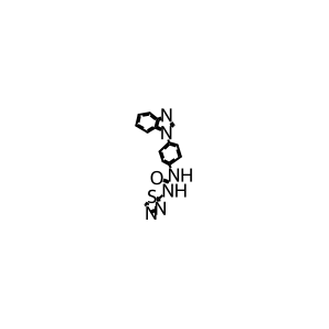 O=C(Nc1ccc(-n2cnc3ccccc32)cc1)Nc1nncs1